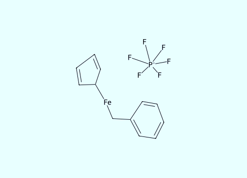 C1=C[CH]([Fe][CH2]c2ccccc2)C=C1.F[P-](F)(F)(F)(F)F